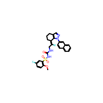 COc1ccc(F)cc1S(=O)(=O)NC(=O)NCC(F)=C1CCCc2cnn(-c3ccc4ccccc4c3)c21